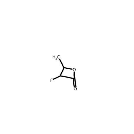 CC1OC(=O)C1F